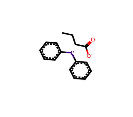 CCCC(=O)[O-].c1ccc([I+]c2ccccc2)cc1